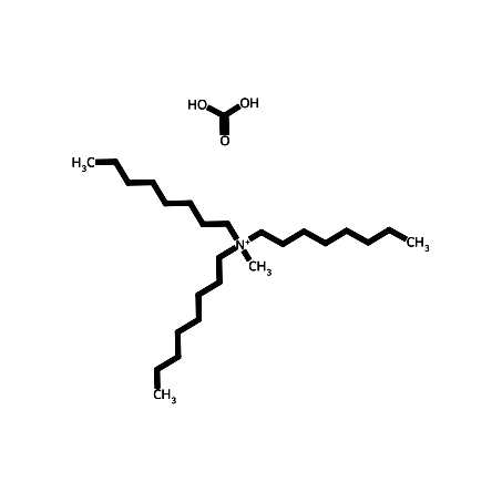 CCCCCCCC[N+](C)(CCCCCCCC)CCCCCCCC.O=C(O)O